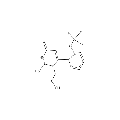 O=C1C=C(c2ccccc2OC(F)(F)F)N(CCO)C(S)N1